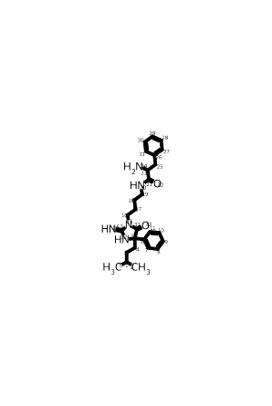 CC(C)CCC1(c2ccccc2)NC(=N)N(CCCCNC(=O)C(N)Cc2ccccc2)C1=O